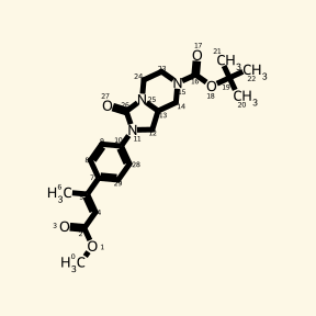 COC(=O)C=C(C)c1ccc(N2CC3CN(C(=O)OC(C)(C)C)CCN3C2=O)cc1